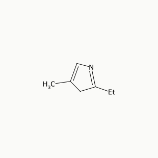 CCC1=NC=C(C)C1